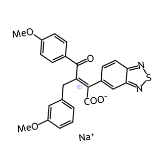 COc1ccc(C(=O)/C(Cc2cccc(OC)c2)=C(/C(=O)[O-])c2ccc3nsnc3c2)cc1.[Na+]